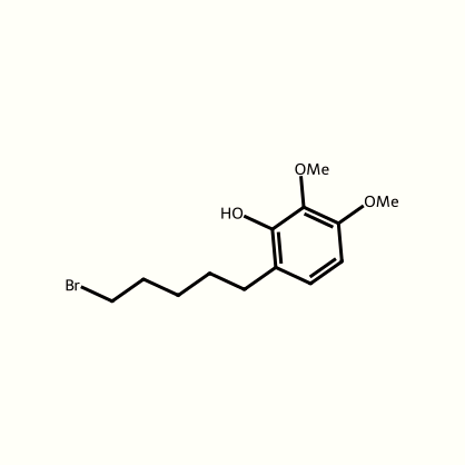 COc1ccc(CCCCCBr)c(O)c1OC